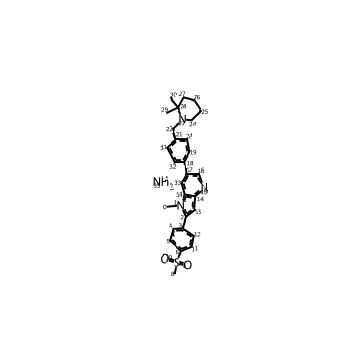 Cn1c(-c2ccc(S(C)(=O)=O)cc2)cc2ncc(-c3ccc(CN4CCCCC4(C)C)cc3)cc21.N